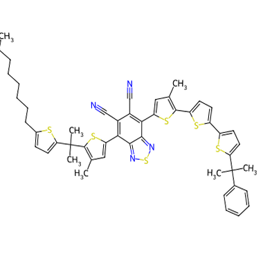 CCCCCCCCc1ccc(C(C)(C)c2sc(-c3c(C#N)c(C#N)c(-c4cc(C)c(-c5ccc(-c6ccc(C(C)(C)c7ccccc7)s6)s5)s4)c4nsnc34)cc2C)s1